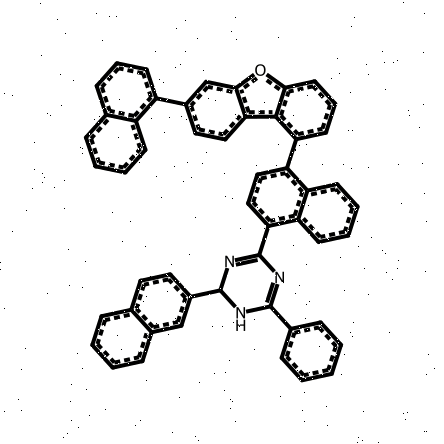 c1ccc(C2=NC(c3ccc(-c4cccc5oc6cc(-c7cccc8ccccc78)ccc6c45)c4ccccc34)=NC(c3ccc4ccccc4c3)N2)cc1